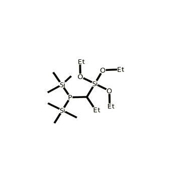 CCO[Si](OCC)(OCC)C(CC)P([Si](C)(C)C)[Si](C)(C)C